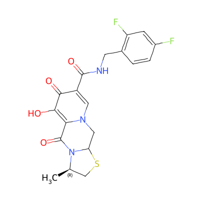 C[C@@H]1CSC2Cn3cc(C(=O)NCc4ccc(F)cc4F)c(=O)c(O)c3C(=O)N21